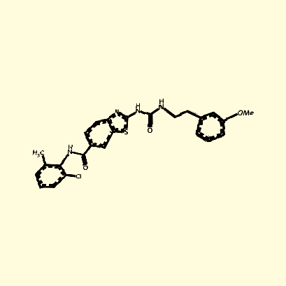 COc1cccc(CCNC(=O)Nc2nc3ccc(C(=O)Nc4c(C)cccc4Cl)cc3s2)c1